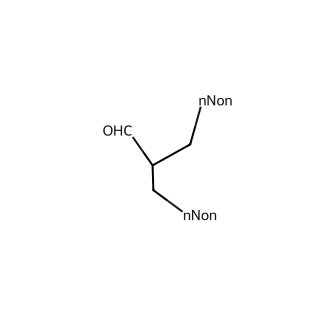 CCCCCCCCCCC(C=O)CCCCCCCCCC